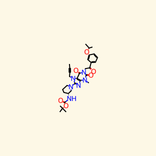 CC#CCn1c(N2CCC[C@@H](NC(=O)OC(C)(C)C)C2)nc2c1c(=O)n(CC(=O)c1cccc(OC(C)C)c1)c(=O)n2C